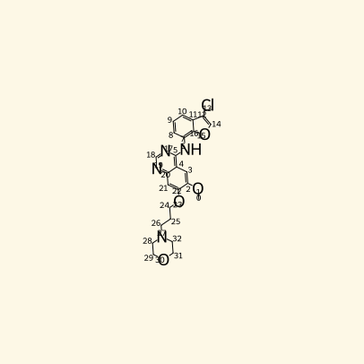 COc1cc2c(Nc3cccc4c(Cl)coc34)ncnc2cc1OCCCN1CCOCC1